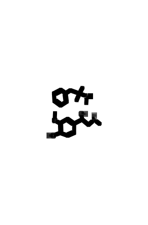 CNC(C)(C)Cc1ccccc1.CNCC(O)c1ccc(O)c(OC)c1